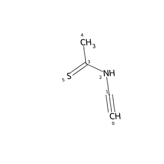 C#CNC(C)=S